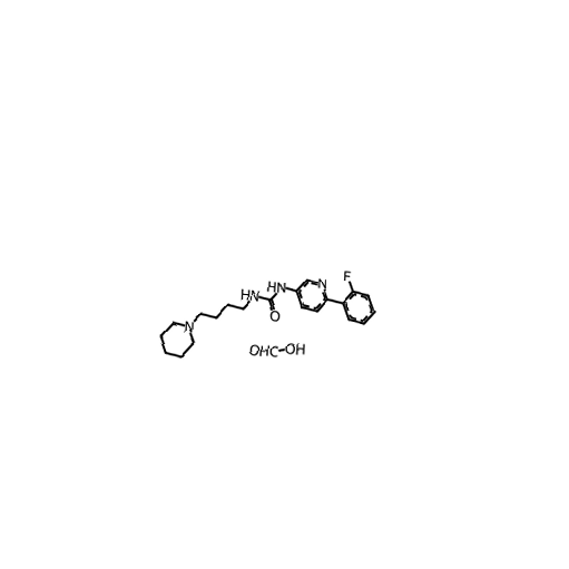 O=C(NCCCCN1CCCCC1)Nc1ccc(-c2ccccc2F)nc1.O=CO